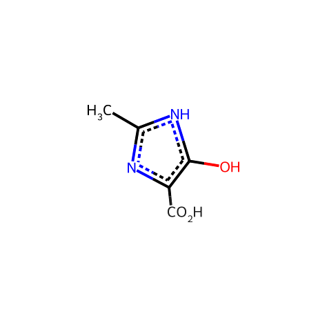 Cc1nc(C(=O)O)c(O)[nH]1